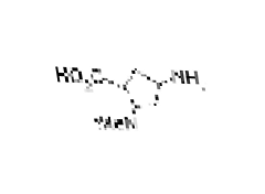 CNC1CC(N)CC1C(=O)O